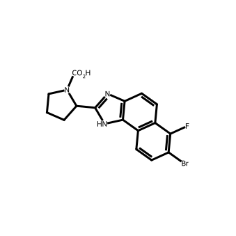 O=C(O)N1CCCC1c1nc2ccc3c(F)c(Br)ccc3c2[nH]1